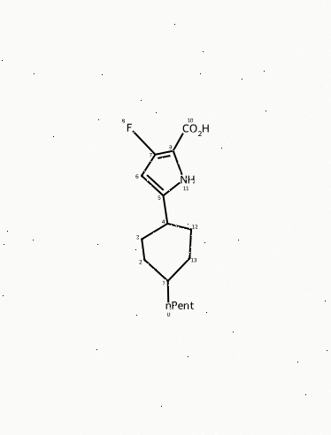 CCCCCC1CCC(c2cc(F)c(C(=O)O)[nH]2)CC1